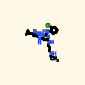 CCNCCCNc1cc(Nc2cc(C3CC3)n[nH]2)nc(Nc2ccccc2Cl)n1